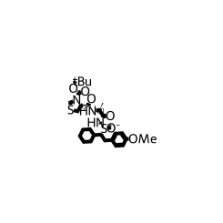 COc1ccc(CC(C2CCCCC2)[S+]([O-])NC(=O)[C@@H](C)NC(=O)[C@@H]2CSCN2C(=O)OC(C)(C)C)cc1